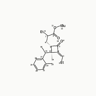 CC/C=C1/C(=O)[C@@H](CC(CC)C(=O)OC(C)(C)C)[C@]1(C)C(C)c1ccccc1C